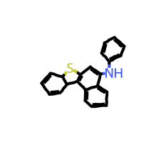 C1=CC2Sc3cc(Nc4ccccc4)c4ccccc4c3C2C=C1